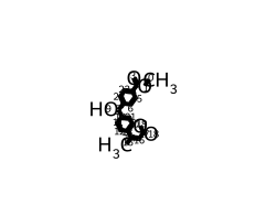 COC(=O)c1ccc(C(O)c2ccc3c(C)cc(=O)oc3c2)cc1